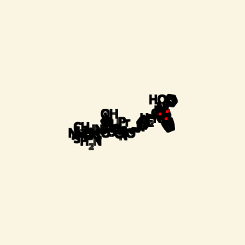 Cc1ncsc1-c1ccc([C@H](CN)NC(=O)[C@@H]2C[C@@H](O)CN2C(=O)[C@@H](c2cc(OCCN3CCN(CCOc4cc(N5C6CCC5CN(c5cc(-c7ccccc7O)nnc5N)C6)ccn4)CC3)no2)C(C)C)cc1